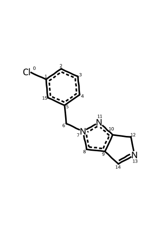 Clc1cccc(Cn2cc3c(n2)CN=C3)c1